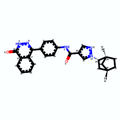 O=C(Nc1ccc(-c2n[nH]c(=O)c3ccccc23)cc1)c1cnn([C@H]2C[C@H]3CC[C@H]2C3)c1